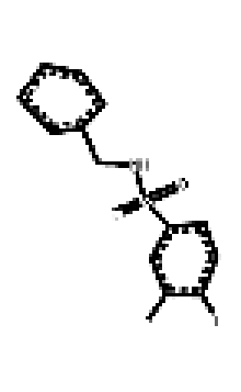 Cc1cc(S(=O)(=O)NCc2ccccc2)ccc1F